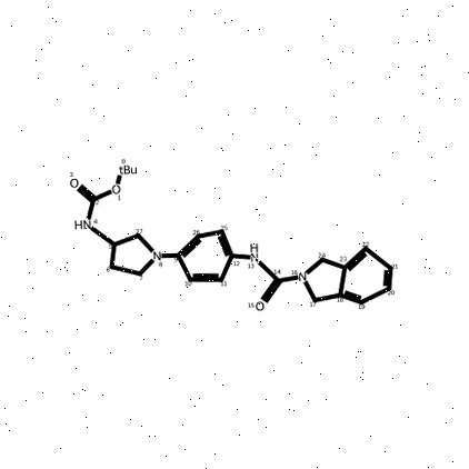 CC(C)(C)OC(=O)NC1CCN(c2ccc(NC(=O)N3Cc4ccccc4C3)cc2)C1